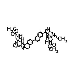 CCCN(Cc1ncc(-c2ccc3cc(-c4ccc5c(c4)CCc4nc([C@@H]6CCCN6C(=O)CNC(=O)OC)[nH]c4-5)ccc3c2)[nH]1)C(=O)CNC(=O)OC